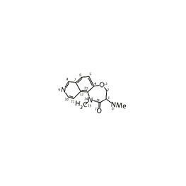 CNC1COc2ccc3cnccc3c2N(C)C1=O